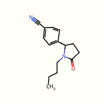 CCCCN1C(=O)CCC1c1ccc(C#N)cc1